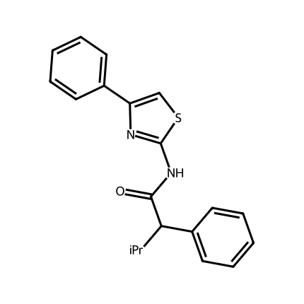 CC(C)C(C(=O)Nc1nc(-c2ccccc2)cs1)c1ccccc1